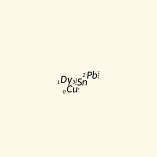 [Cu].[Dy].[Pb].[Sn]